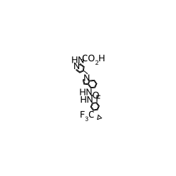 C1CC1.O=C(O)Nc1cc(Cn2ccc3c(NC(=O)Nc4cc(C(F)(F)F)ccc4F)cccc32)ccn1